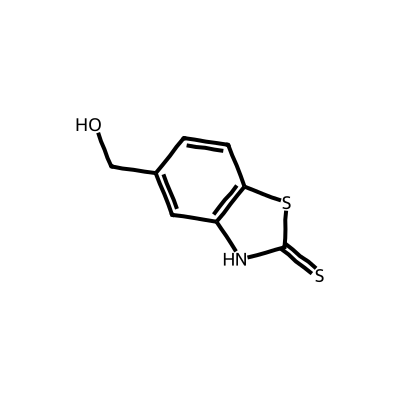 OCc1ccc2sc(=S)[nH]c2c1